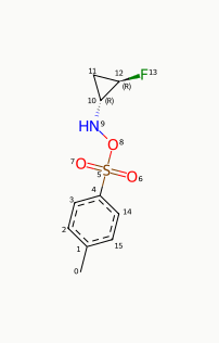 Cc1ccc(S(=O)(=O)ON[C@@H]2C[C@H]2F)cc1